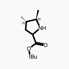 C[C@H]1CC(C(=O)OC(C)(C)C)N[C@@H]1C